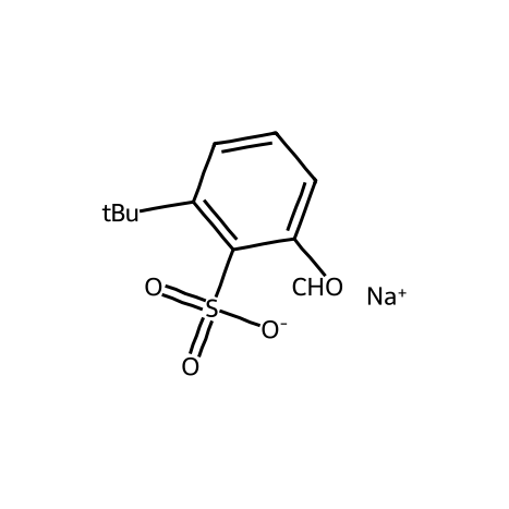 CC(C)(C)c1cccc(C=O)c1S(=O)(=O)[O-].[Na+]